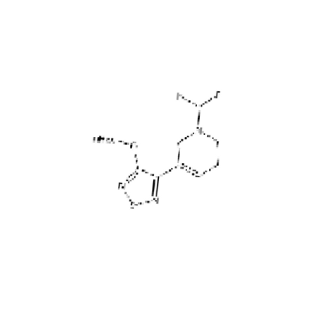 CCCCCCOc1nsnc1C1=CCCN(C(F)F)C1